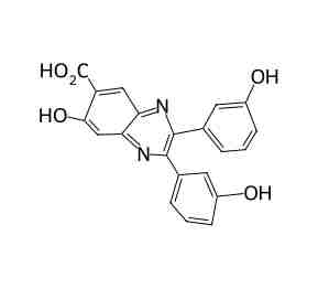 O=C(O)c1cc2nc(-c3cccc(O)c3)c(-c3cccc(O)c3)nc2cc1O